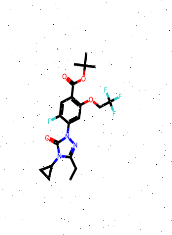 CCc1nn(-c2cc(OCC(F)(F)F)c(C(=O)OC(C)(C)C)cc2F)c(=O)n1C1CC1